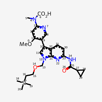 COc1cc(N(C)C(=O)O)ncc1-c1cn(COCC[Si](C)(C)C)c2nc(NC(=O)C3CC3)ccc12